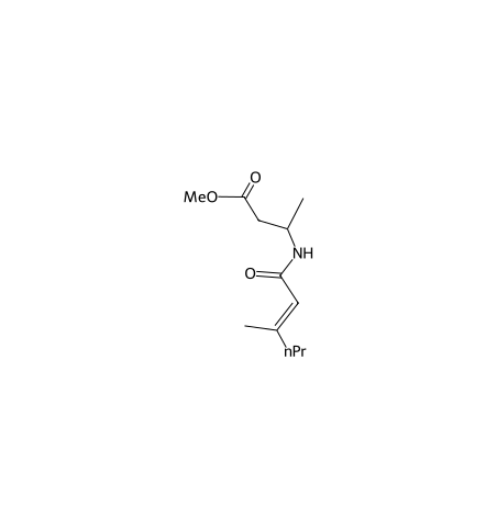 CCC/C(C)=C/C(=O)NC(C)CC(=O)OC